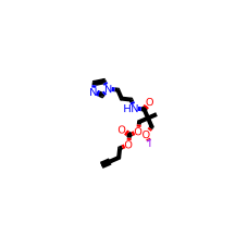 C#CCCOC(=O)OCC(C)(COI)C(=O)NCCCn1ccnc1